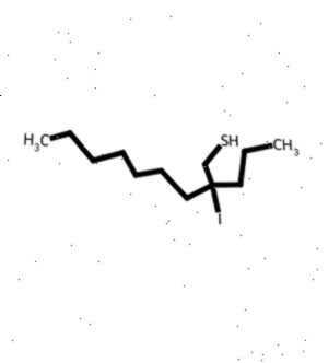 CCCCCCCC(I)(CS)CCC